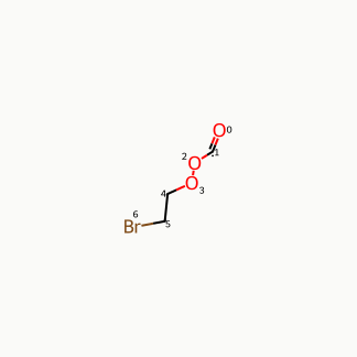 O=[C]OOCCBr